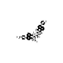 CCC(NC(C)N1C(=O)c2cccc3c(N4CCNCC4)ccc(c23)C1=O)NC(C)N1C(=O)c2cccc3c(N4CCN(C)CC4)ccc(c23)C1=O